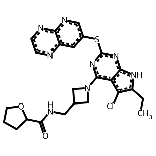 CCc1[nH]c2nc(Sc3cnc4nccnc4c3)nc(N3CC(CNC(=O)C4CCCO4)C3)c2c1Cl